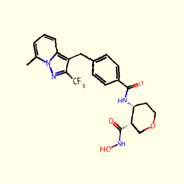 Cc1cccc2c(Cc3ccc(C(=O)N[C@@H]4CCOC[C@@H]4C(=O)NO)cc3)c(C(F)(F)F)nn12